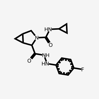 O=C(NNc1ccc(F)cc1)C1C2CC2CN1C(=O)NC1CC1